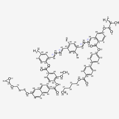 C=C(C)C(=O)Oc1ccc(C(=O)Oc2ccc(-c3ccc(C(=O)OCCCCC)cc3)cc2)c(/C=N/N=C/c2cc(F)c(/C=N/N=C/c3cc(C)ccc3OC(=O)c3ccc(OC(=O)c4ccc5cc(OCCCOC6CO6)ccc5c4)c(OC)c3)cc2F)c1